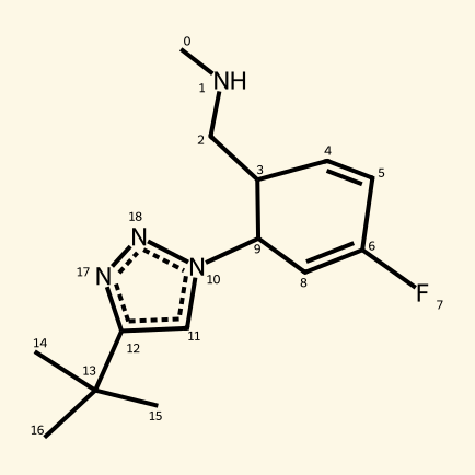 CNCC1C=CC(F)=CC1n1cc(C(C)(C)C)nn1